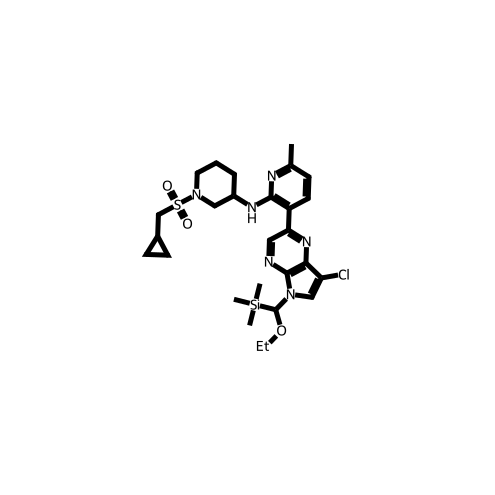 CCOC(n1cc(Cl)c2nc(-c3ccc(C)nc3NC3CCCN(S(=O)(=O)CC4CC4)C3)cnc21)[Si](C)(C)C